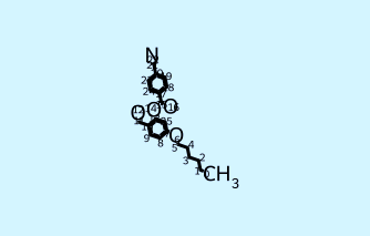 CCCCCCOc1ccc(C=O)c(OC(=O)c2ccc(C#N)cc2)c1